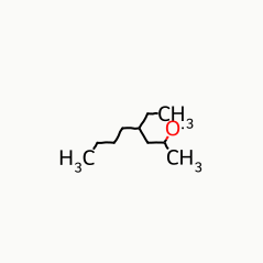 CCCCC(CC)CC(C)[O]